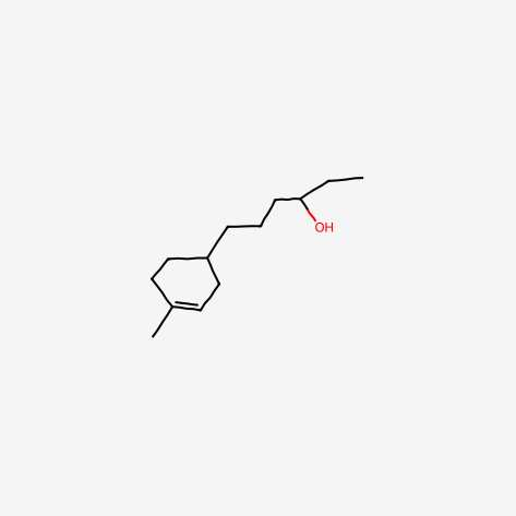 CCC(O)CCCC1CC=C(C)CC1